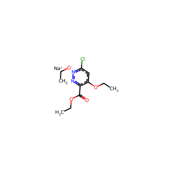 CCOC(=O)c1nnc(Cl)cc1OCC.CC[O-].[Na+]